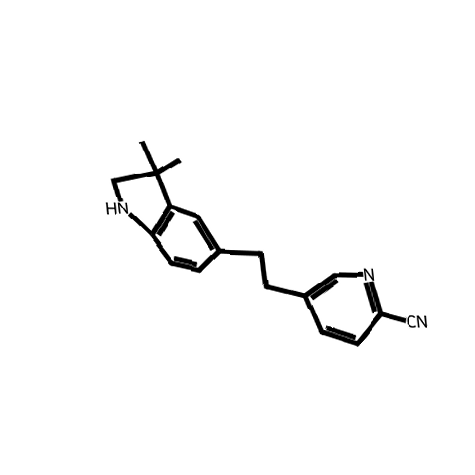 CC1(C)CNc2ccc(CCc3ccc(C#N)nc3)cc21